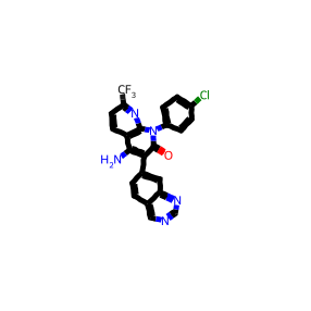 Nc1c(-c2ccc3cncnc3c2)c(=O)n(-c2ccc(Cl)cc2)c2nc(C(F)(F)F)ccc12